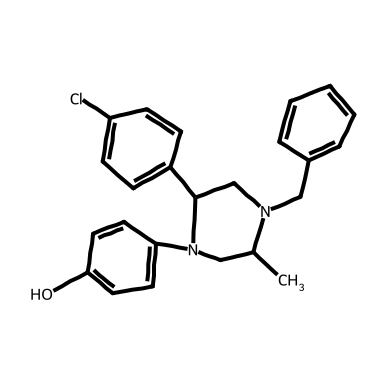 CC1CN(c2ccc(O)cc2)C(c2ccc(Cl)cc2)CN1Cc1ccccc1